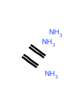 C=C.C=C.N.N.N